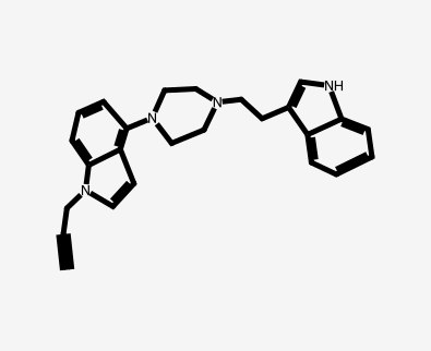 C#CCn1ccc2c(N3CCN(CCc4c[nH]c5ccccc45)CC3)cccc21